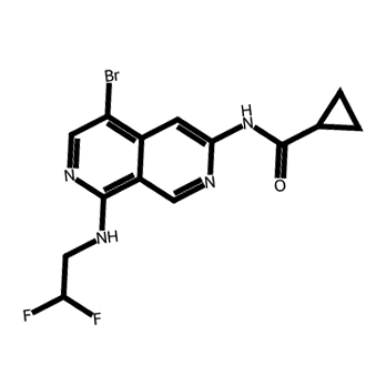 O=C(Nc1cc2c(Br)cnc(NCC(F)F)c2cn1)C1CC1